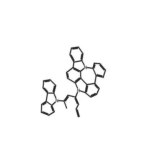 C=C/C=C(\C=C(/C)n1c2ccccc2c2ccccc21)n1c2cccc3c4ccccc4n4c5ccccc5c5ccc1c(c32)c54